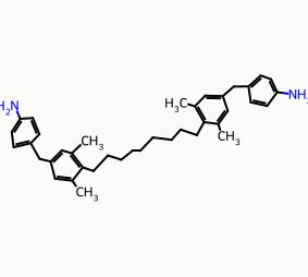 Cc1cc(Cc2ccc(N)cc2)cc(C)c1CCCCCCCCCc1c(C)cc(Cc2ccc(N)cc2)cc1C